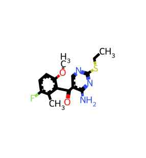 CCSc1ncc(C(=O)c2c(OC)ccc(F)c2C)c(N)n1